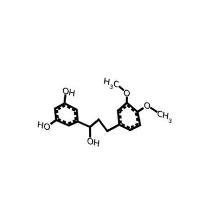 COc1ccc(CCC(O)c2cc(O)cc(O)c2)cc1OC